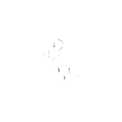 CC(c1cc(=O)c(O)co1)N1Cc2ccccc2C2CC21